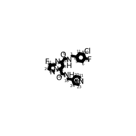 O=C(NCc1ccc(F)c(Cl)c1)c1cc(C(=O)NCC23CCN(CC2)CC3)n2ncc(F)c2n1